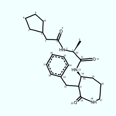 C[C@H](NC(=O)CC1CCCC1)C(=O)N[C@H]1CCCNC(=O)C1Cc1ccccc1